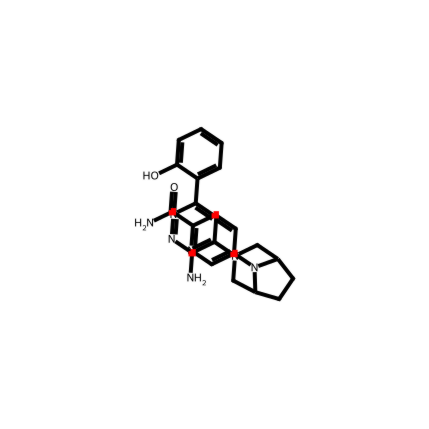 NC(=O)c1ccc(N2C3CCC2CN(c2cc(-c4ccccc4O)nnc2N)C3)cn1